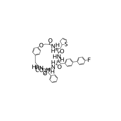 O=C1COc2ccc(cc2)C[C@@H](C(=O)O)NC(=O)[C@H](Cc2ccccc2)NC(=O)[C@H](Cc2ccc(-c3ccc(F)cc3)cc2)NC(=O)[C@H](CC2CC=CS2)N1